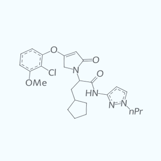 CCCn1ccc(NC(=O)C(CC2CCCC2)N2CC(Oc3cccc(OC)c3Cl)=CC2=O)n1